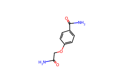 NC(=O)COc1ccc(C(N)=O)cc1